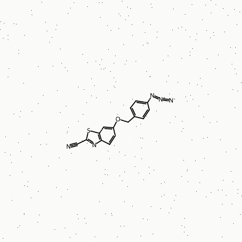 N#Cc1nc2ccc(OCc3ccc(N=[N+]=[N-])cc3)cc2s1